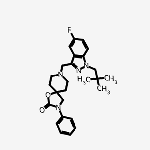 CC(C)(C)Cn1nc(CN2CCC3(CC2)CN(c2ccccc2)C(=O)O3)c2cc(F)ccc21